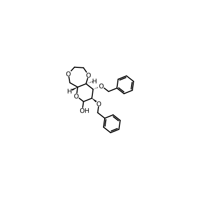 OC1O[C@@H]2COCCO[C@H]2[C@H](OCc2ccccc2)[C@H]1OCc1ccccc1